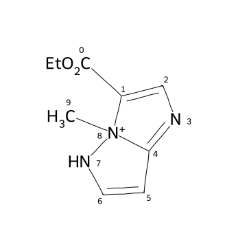 CCOC(=O)C1=CN=C2C=CN[N+]12C